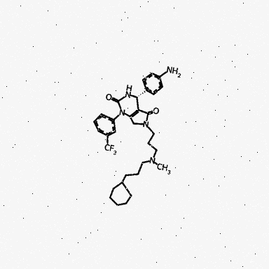 CN(CCCC1CCCCC1)CCCN1CC2=C(C1=O)[C@@H](c1ccc(N)cc1)NC(=O)N2c1cccc(C(F)(F)F)c1